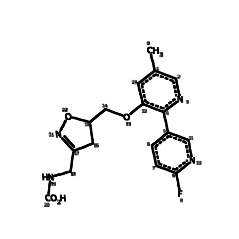 Cc1cnc(-c2ccc(F)nc2)c(OCC2CC(CNC(=O)O)=NO2)c1